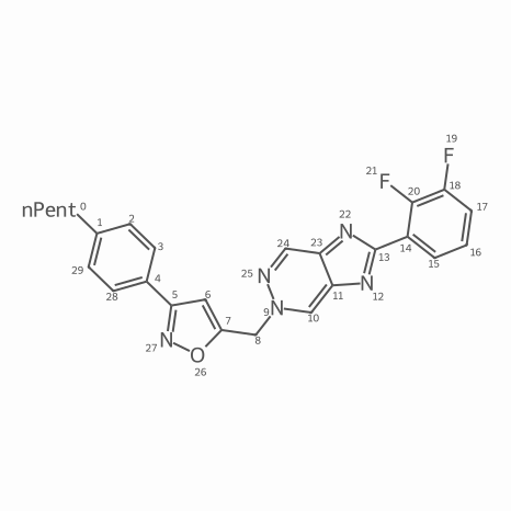 CCCCCc1ccc(-c2cc(Cn3cc4nc(-c5cccc(F)c5F)nc-4cn3)on2)cc1